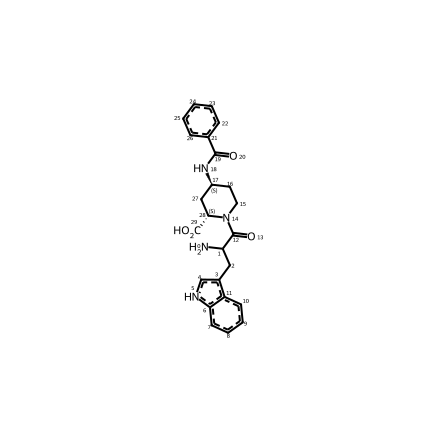 NC(Cc1c[nH]c2ccccc12)C(=O)N1CC[C@H](NC(=O)c2ccccc2)C[C@H]1C(=O)O